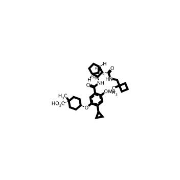 COc1cc(C2CC2)c(O[C@H]2CC[C@@](C)(C(=O)O)CC2)cc1C(=O)N[C@@H]1[C@H]2CC[C@H](C2)[C@@H]1C(=O)NCC1(C)CCC1